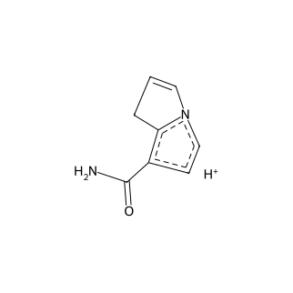 NC(=O)c1ccn2c1CC=C2.[H+]